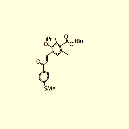 CSc1ccc(C(=O)C=Cc2cc(C)c(C(=O)OC(C)(C)C)c(C)c2OC(C)C)cc1